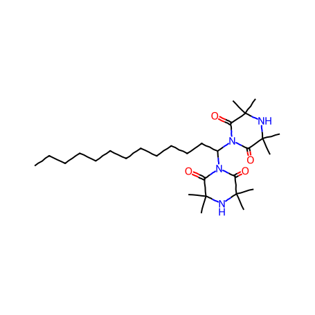 CCCCCCCCCCCCC(N1C(=O)C(C)(C)NC(C)(C)C1=O)N1C(=O)C(C)(C)NC(C)(C)C1=O